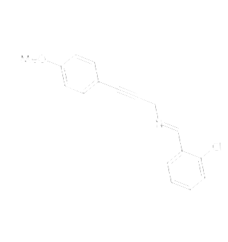 COc1ccc(C#CC/N=C/c2ccccc2Cl)cc1